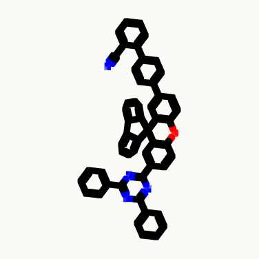 N#Cc1ccccc1-c1ccc(-c2ccc3c(c2)C2(c4cc(-c5nc(-c6ccccc6)nc(-c6ccccc6)n5)ccc4O3)c3ccccc3-c3ccccc32)cc1